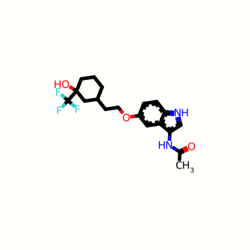 CC(=O)Nc1c[nH]c2ccc(OCCC3CCCC(O)(C(F)(F)F)C3)cc12